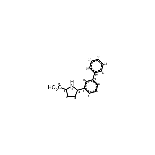 O=C(O)C1CCC(c2cccc(-c3ccccc3)c2)N1